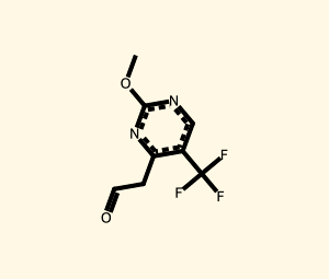 COc1ncc(C(F)(F)F)c(CC=O)n1